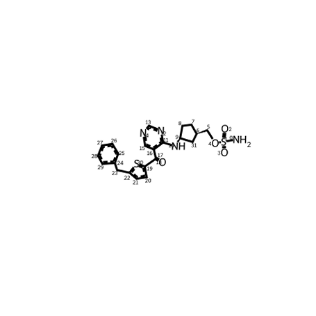 NS(=O)(=O)OC[C@@H]1CC[C@H](Nc2ncncc2C(=O)c2ccc(Cc3ccccc3)s2)C1